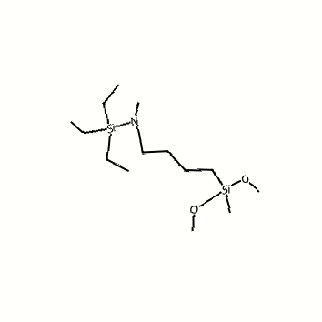 CC[Si](CC)(CC)N(C)CCCC[Si](C)(OC)OC